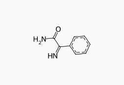 N=C(C(N)=O)c1ccccc1